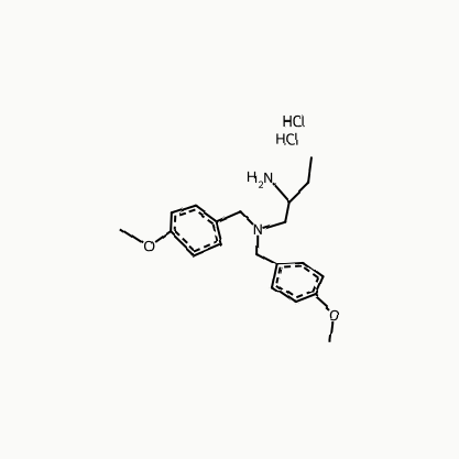 CCC(N)CN(Cc1ccc(OC)cc1)Cc1ccc(OC)cc1.Cl.Cl